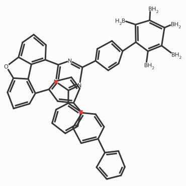 Bc1c(B)c(B)c(-c2ccc(-c3nc(-c4ccccc4)nc(-c4cccc5oc6cccc(-c7cccc(-c8ccc(-c9ccccc9)cc8)c7)c6c45)n3)cc2)c(B)c1B